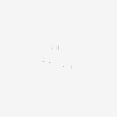 [AsH3].[Cu].[PbH2].[SbH3]